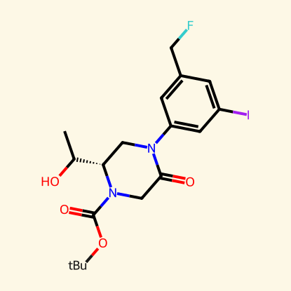 CC(O)[C@@H]1CN(c2cc(I)cc(CF)c2)C(=O)CN1C(=O)OC(C)(C)C